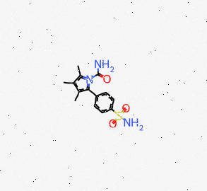 Cc1c(C)c(-c2ccc(S(N)(=O)=O)cc2)n(C(N)=O)c1C